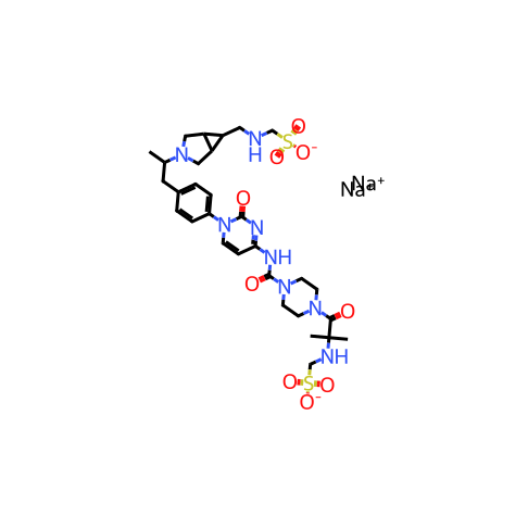 CC(Cc1ccc(-n2ccc(NC(=O)N3CCN(C(=O)C(C)(C)NCS(=O)(=O)[O-])CC3)nc2=O)cc1)N1CC2C(CNCS(=O)(=O)[O-])C2C1.[Na+].[Na+]